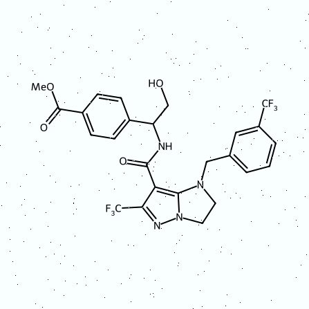 COC(=O)c1ccc(C(CO)NC(=O)c2c(C(F)(F)F)nn3c2N(Cc2cccc(C(F)(F)F)c2)CC3)cc1